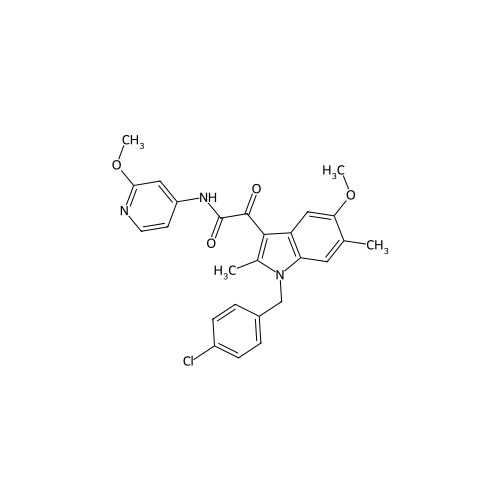 COc1cc(NC(=O)C(=O)c2c(C)n(Cc3ccc(Cl)cc3)c3cc(C)c(OC)cc23)ccn1